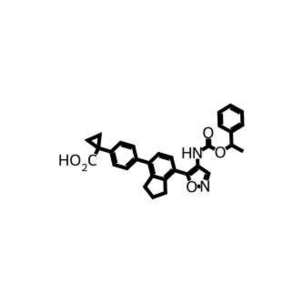 CC(OC(=O)Nc1cnoc1-c1ccc(-c2ccc(C3(C(=O)O)CC3)cc2)c2c1CCC2)c1ccccc1